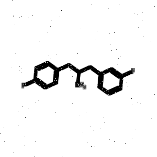 NC(Cc1ccc(F)cc1)Cc1cccc(F)c1